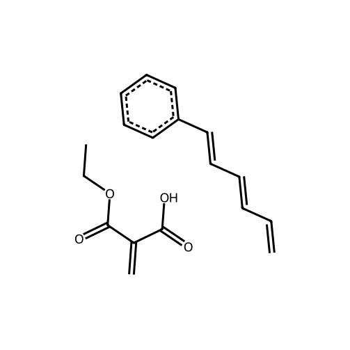 C=C(C(=O)O)C(=O)OCC.C=CC=CC=Cc1ccccc1